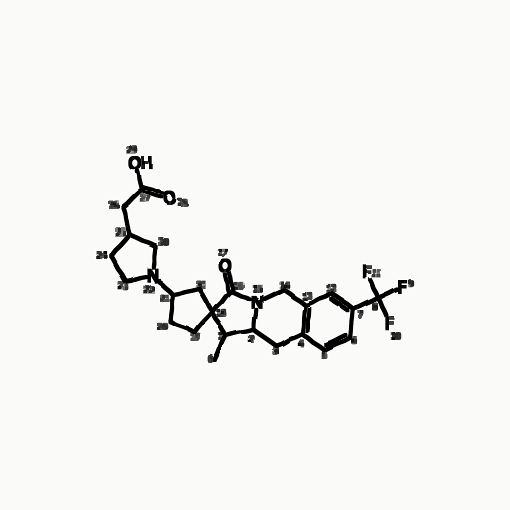 CC1C2Cc3ccc(C(F)(F)F)cc3CN2C(=O)C12CCC(N1CCC(CC(=O)O)C1)C2